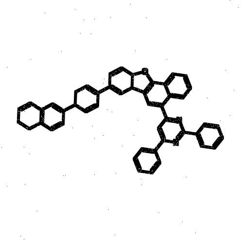 C1=Cc2cc(C3C=CC(C4=CC5c6cc(-c7cc(-c8ccccc8)nc(-c8ccccc8)n7)c7ccccc7c6OC5C=C4)=CC3)ccc2CC1